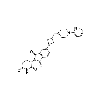 O=C1CCC(N2C(=O)c3ccc(N4CC(CN5CCN(c6ccccn6)CC5)C4)cc3C2=O)C(=O)N1